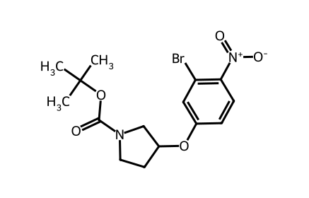 CC(C)(C)OC(=O)N1CCC(Oc2ccc([N+](=O)[O-])c(Br)c2)C1